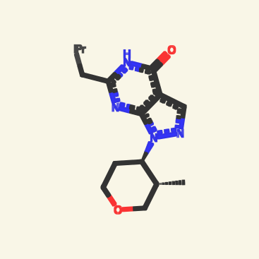 CC(C)Cc1nc2c(cnn2[C@@H]2CCOC[C@H]2C)c(=O)[nH]1